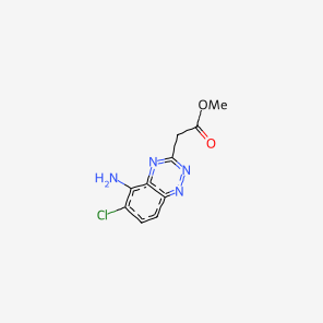 COC(=O)Cc1nnc2ccc(Cl)c(N)c2n1